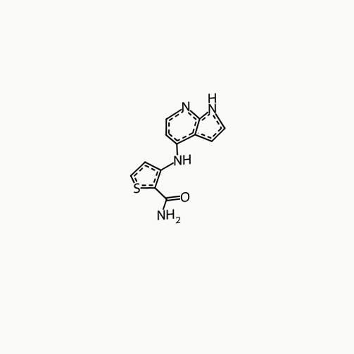 NC(=O)c1sccc1Nc1ccnc2[nH]ccc12